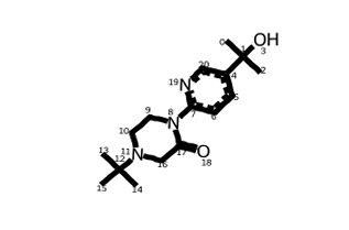 CC(C)(O)c1ccc(N2CCN(C(C)(C)C)CC2=O)nc1